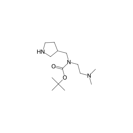 CN(C)CCN(CC1CCNC1)C(=O)OC(C)(C)C